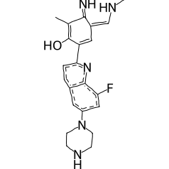 CN/C=C1/C=C(c2ccc3cc(N4CCNCC4)cc(F)c3n2)C(O)=C(C)C1=N